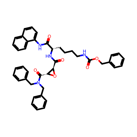 O=C(NCCCC[C@H](NC(=O)[C@H]1O[C@@H]1C(=O)N(Cc1ccccc1)Cc1ccccc1)C(=O)Nc1cccc2ccccc12)OCc1ccccc1